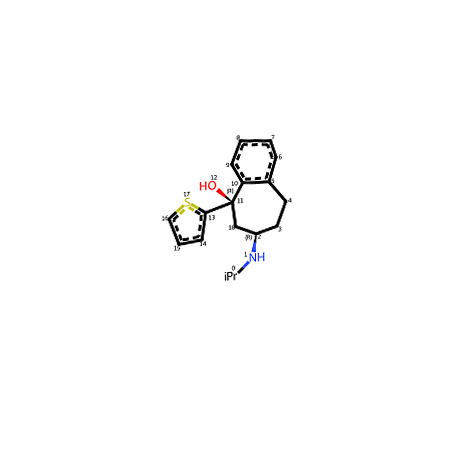 CC(C)N[C@@H]1CCc2ccccc2[C@@](O)(c2cccs2)C1